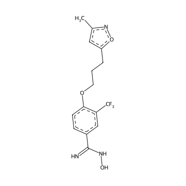 Cc1cc(CCCOc2ccc(C(=N)NO)cc2C(F)(F)F)on1